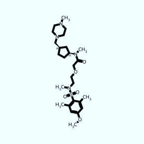 COc1cc(C)c(S(=O)(=O)N(C)CCOCC(=O)N(C)[C@H]2CC[C@@H](CN3CCN(C)CC3)C2)c(C)c1